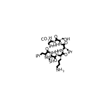 CC(C)C[C@H](NC(=O)[C@H](CO)NC(=O)[C@H](CC(C)C)NC(=O)[C@H](CCCCN)NC(=O)[C@H](CS)NC(=O)[C@@H](N)CC(C)C)C(=O)O